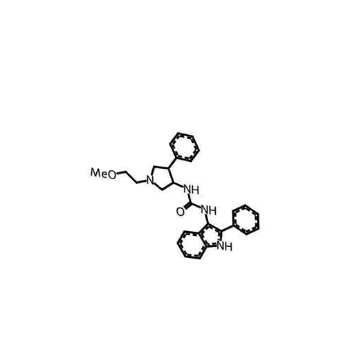 COCCN1CC(NC(=O)Nc2c(-c3ccccc3)[nH]c3ccccc23)C(c2ccccc2)C1